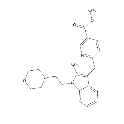 COC(=O)c1ccc(Cc2c(C)n(CCN3CCOCC3)c3ccccc23)nc1